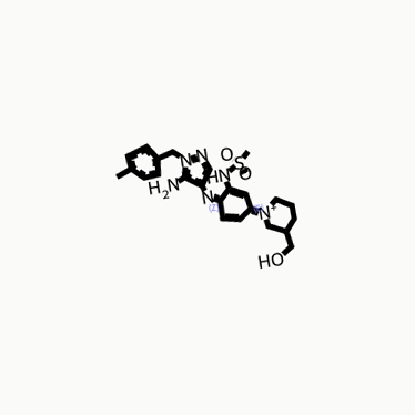 Cc1ccc(Cn2ncc(/N=C3C=C/C(=[N+]4/CCCC(CO)C4)C=C/3NS(C)(=O)=O)c2N)cc1